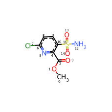 COC(=O)c1nc(Cl)ccc1S(N)(=O)=O